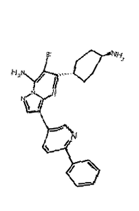 Nc1c(Br)c([C@H]2CC[C@H](N)CC2)nc2c(-c3ccc(-c4ccccc4)nc3)cnn12